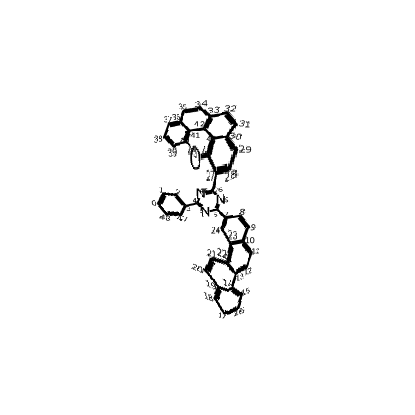 c1ccc(-c2nc(-c3ccc4ccc5c6ccccc6ccc5c4c3)nc(-c3ccc4ccc5ccc6cccc7c6c5c4c3O7)n2)cc1